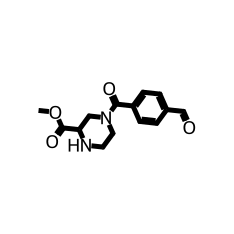 COC(=O)C1CN(C(=O)c2ccc(C=O)cc2)CCN1